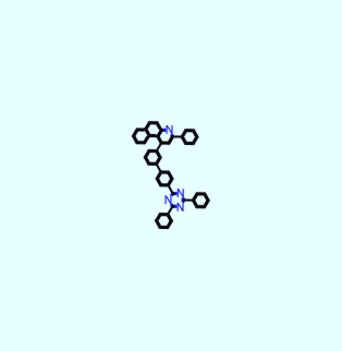 c1ccc(-c2cc(-c3cccc(-c4ccc(-c5nc(-c6ccccc6)nc(-c6ccccc6)n5)cc4)c3)c3c(ccc4ccccc43)n2)cc1